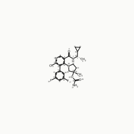 C[C@H](NC(=O)c1cnc(Cl)c(-c2cc(F)cc(F)c2)c1N1CC[C@](C)(OC(N)=O)C1)C1CC1